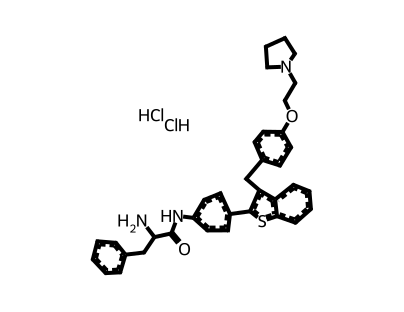 Cl.Cl.NC(Cc1ccccc1)C(=O)Nc1ccc(-c2sc3ccccc3c2Cc2ccc(OCCN3CCCC3)cc2)cc1